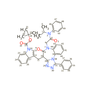 CC(C)N(C(=O)CN1C(=O)C(Cc2cn(C(=O)OC(C)(C)C)c3ccccc23)c2nnc(-c3ccccc3)n2-c2ccccc21)c1ccccc1